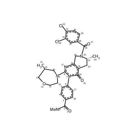 CNC(=O)c1ccc(-n2c(N3CCOCC(C)C3)nc3c(c2=O)C[C@@H](C)N(C(=O)c2ccc(Cl)c(Cl)c2)C3)cc1